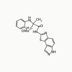 COc1ccccc1NC(C)(C)C(=O)Nc1nc2ccc3[nH]ncc3c2s1